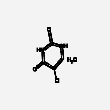 O.O=c1[nH]cc(Cl)c(=O)[nH]1